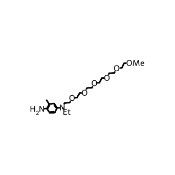 CCN(CCOCCOCCOCCOCCOCCOC)c1ccc(N)c(C)c1